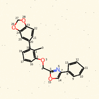 Cc1c(OCc2nc(-c3ccccc3)co2)cccc1-c1ccc2c(c1)OCO2